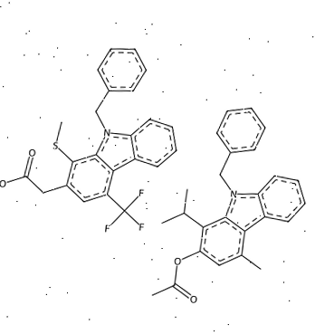 CC(=O)Oc1cc(C)c2c3ccccc3n(Cc3ccccc3)c2c1C(C)C.CSc1c(CC(=O)O)cc(C(F)(F)F)c2c3ccccc3n(Cc3ccccc3)c12